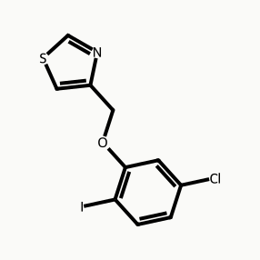 Clc1ccc(I)c(OCc2cscn2)c1